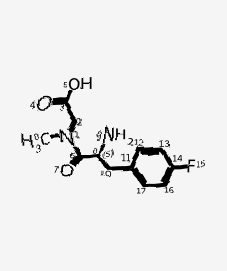 CN(CC(=O)O)C(=O)[C@@H](N)Cc1ccc(F)cc1